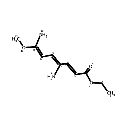 CCOC(=O)/C=C/C(N)=C/C=C(\N)OC